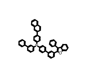 c1ccc(-c2cccc(N(c3ccc(-c4cccc(-c5oc6ccccc6c5-c5ccccc5)c4)cc3)c3ccc(-c4ccc5ccccc5c4)cc3)c2)cc1